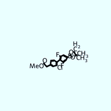 C=C1OB(c2cc(F)c(-c3ccc(CC(=O)OC)cc3Cl)c(F)c2)OC1(C)C